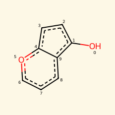 Oc1ccc2occcc1-2